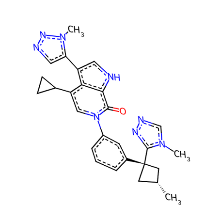 Cn1nncc1-c1c[nH]c2c(=O)n(-c3cccc([C@]4(c5nncn5C)C[C@@H](C)C4)c3)cc(C3CC3)c12